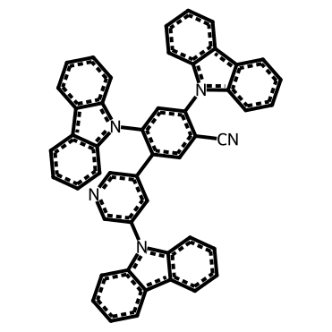 N#Cc1cc(-c2cncc(-n3c4ccccc4c4ccccc43)c2)c(-n2c3ccccc3c3ccccc32)cc1-n1c2ccccc2c2ccccc21